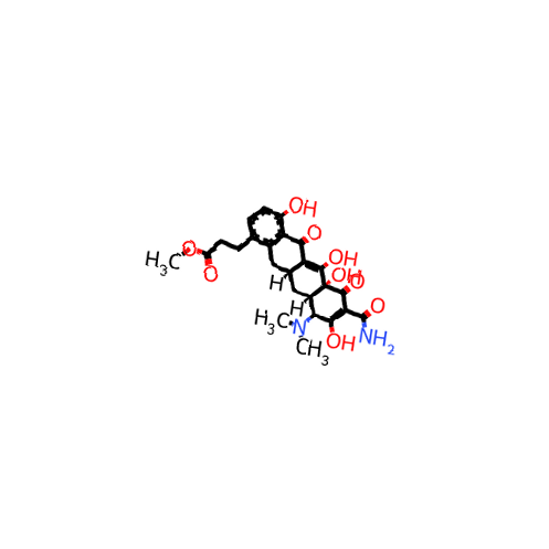 COC(=O)CCc1ccc(O)c2c1C[C@H]1C[C@H]3C(N(C)C)C(O)=C(C(N)=O)C(=O)[C@@]3(O)C(O)=C1C2=O